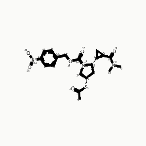 CC(=O)S[C@H]1C[C@@H](C2CC2C(=O)N(C)C)N(C(=O)OCc2ccc([N+](=O)[O-])cc2)C1